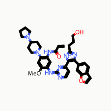 C=CC(=O)Nc1cc(Nc2nccc(-c3[nH]c(CCCO)nc3-c3ccc4ccoc4c3)n2)c(OC)cc1N1CCC(N2CCCC2)CC1